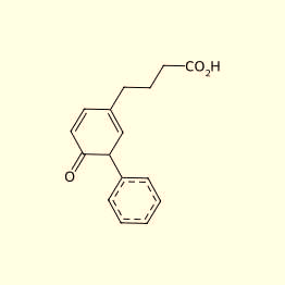 O=C(O)CCCC1=CC(c2ccccc2)C(=O)C=C1